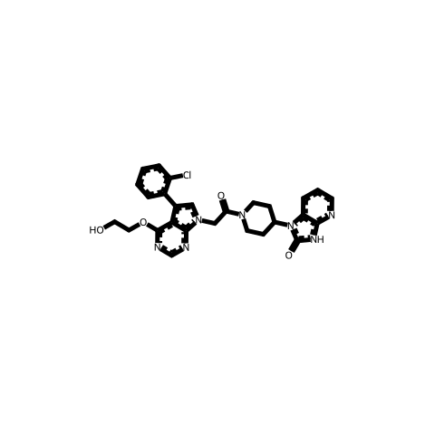 O=C(Cn1cc(-c2ccccc2Cl)c2c(OCCO)ncnc21)N1CCC(n2c(=O)[nH]c3ncccc32)CC1